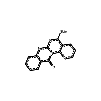 CNc1nc2nc3ccccc3c(=O)n2c2ncccc12